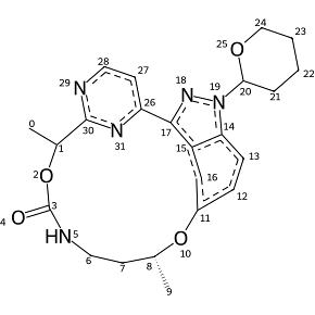 CC1OC(=O)NCC[C@@H](C)Oc2ccc3c(c2)c(nn3C2CCCCO2)-c2ccnc1n2